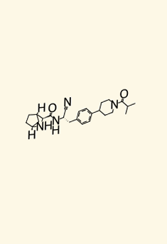 CC(C)C(=O)N1CCC(c2ccc(C[C@@H](C#N)NC(=O)[C@H]3N[C@@H]4CC[C@H]3C4)cc2)CC1